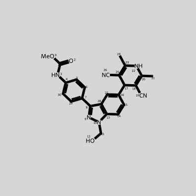 COC(=O)Nc1ccc(-c2nn(CO)c3ccc(C4C(C#N)=C(C)NC(C)=C4C#N)cc23)cc1